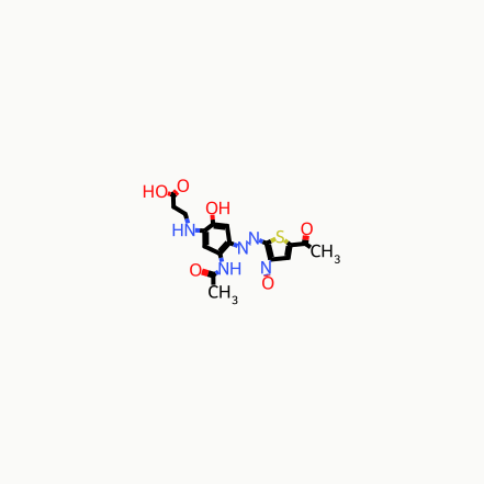 CC(=O)Nc1cc(NCCC(=O)O)c(O)cc1N=Nc1sc(C(C)=O)cc1N=O